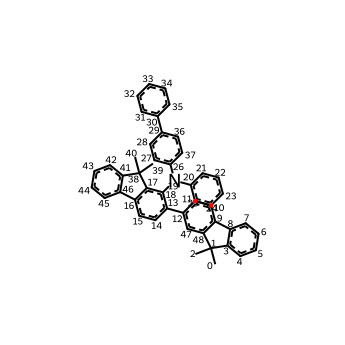 CC1(C)c2ccccc2-c2ccc(-c3ccc4c(c3N(c3ccccc3)c3ccc(-c5ccccc5)cc3)C(C)(C)c3ccccc3-4)cc21